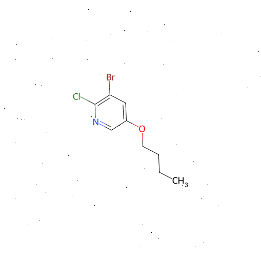 CCCCOc1cnc(Cl)c(Br)c1